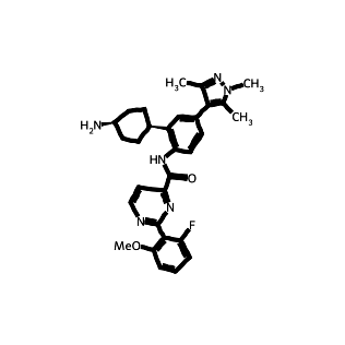 COc1cccc(F)c1-c1nccc(C(=O)Nc2ccc(-c3c(C)nn(C)c3C)cc2[C@H]2CC[C@@H](N)CC2)n1